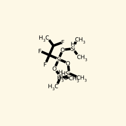 CC(F)C(F)(F)[Si](O[SiH](C)C)(O[SiH](C)C)O[SiH](C)C